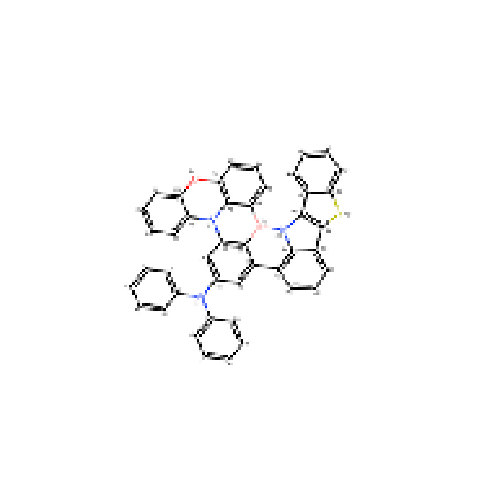 c1ccc(N(c2ccccc2)c2cc3c4c(c2)N2c5ccccc5Oc5cccc(c52)B4n2c4c-3cccc4c3sc4ccccc4c32)cc1